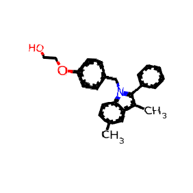 Cc1ccc2c(c1)c(C)c(-c1ccccc1)n2Cc1ccc(OCCO)cc1